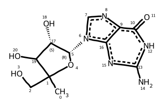 CC1(CO)O[C@@H](n2cnc3c(=O)[nH]c(N)nc32)[C@@H](O)C1O